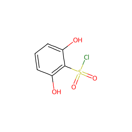 O=S(=O)(Cl)c1c(O)cccc1O